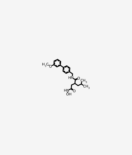 COc1cccc(-c2ccc(CNC(=O)C(CC(=O)NO)CC(C)C)cc2)c1